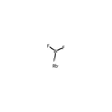 [F][Bi]([F])[F].[Rb]